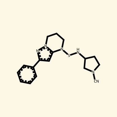 N#CN1CCC(NSN2CCCn3nc(-c4ccccc4)cc32)C1